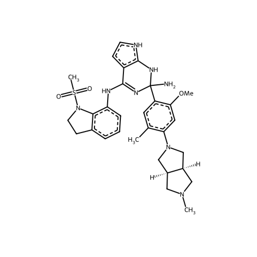 COc1cc(N2C[C@H]3CN(C)C[C@H]3C2)c(C)cc1C1(N)N=C(Nc2cccc3c2N(S(C)(=O)=O)CC3)c2cc[nH]c2N1